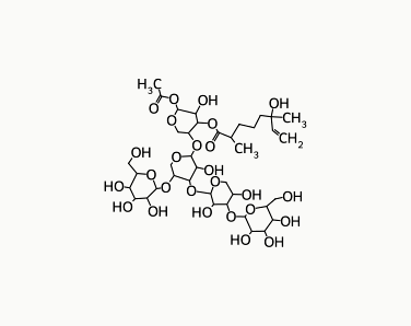 C=CC(C)(O)CCCC(C)C(=O)OC1C(OC2OCC(OC3OC(CO)C(O)C(O)C3O)C(OC3OCC(O)C(OC4OC(CO)C(O)C(O)C4O)C3O)C2O)COC(OC(C)=O)C1O